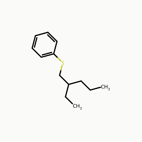 CCCC(CC)CSc1ccccc1